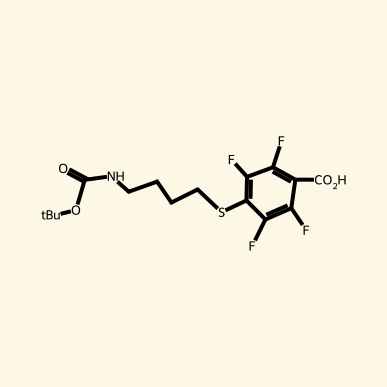 CC(C)(C)OC(=O)NCCCCSc1c(F)c(F)c(C(=O)O)c(F)c1F